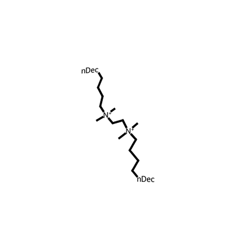 CCCCCCCCCCCCCC[N+](C)(C)CC[N+](C)(C)CCCCCCCCCCCCCC